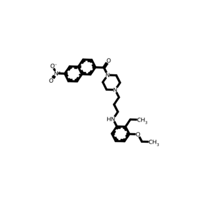 CCOc1cccc(NCCCN2CCN(C(=O)c3ccc4cc([N+](=O)[O-])ccc4c3)CC2)c1CC